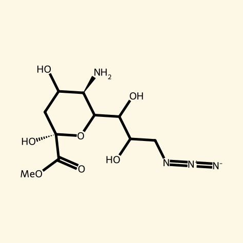 COC(=O)[C@@]1(O)CC(O)[C@@H](N)C(C(O)C(O)CN=[N+]=[N-])O1